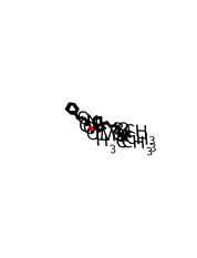 COC(=O)C12CCC1(CCCB1OC(C)(C)C(C)(C)O1)CCN2C(=O)OCc1ccccc1